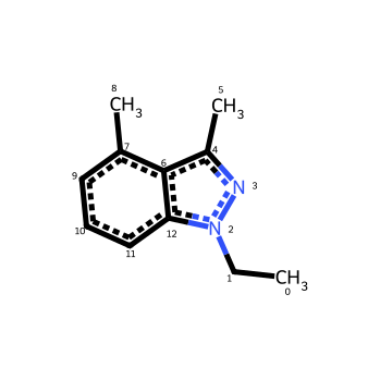 CCn1nc(C)c2c(C)cccc21